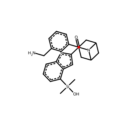 C[Si](C)(O)c1cccc2sc(C(=O)N3C4CC(c5cccc(CN)c5)CC3C4)cc12